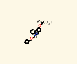 CCCC(COc1ccc2c(c1)[C@@]13CCCC[C@H]1[C@@H](C2)N(C(=O)OCc1ccccc1)CC3)C(=O)O